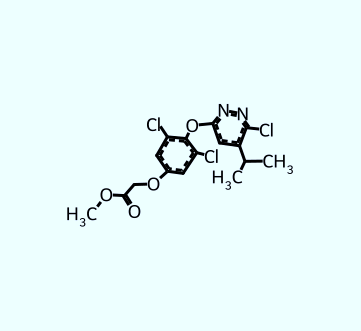 COC(=O)COc1cc(Cl)c(Oc2cc(C(C)C)c(Cl)nn2)c(Cl)c1